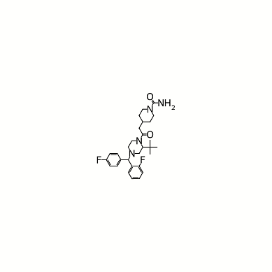 CC(C)(C)C1CN(C(c2ccc(F)cc2)c2ccccc2F)CCN1C(=O)CC1CCN(C(N)=O)CC1